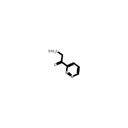 CCOC(=O)CC(=O)c1cccnn1